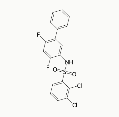 O=S(=O)(Nc1cc(-c2ccccc2)c(F)cc1F)c1cccc(Cl)c1Cl